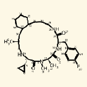 C[C@@H]1CN[C@@H](C2CC2)C(=O)N(C)[C@H](C)C(=O)N[C@H](Cc2ccc(F)cc2)C(=O)NCCCC2CCCCC2C1